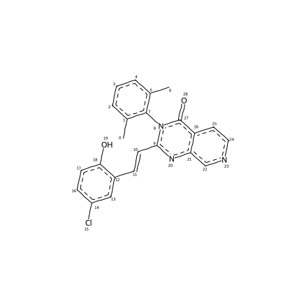 Cc1cccc(C)c1-n1c(/C=C/c2cc(Cl)ccc2O)nc2cnccc2c1=O